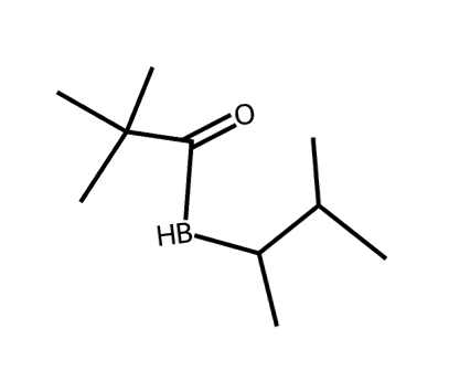 CC(C)C(C)BC(=O)C(C)(C)C